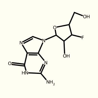 Nc1nc2c(ncn2C2OC(CO)C(F)C2O)c(=O)[nH]1